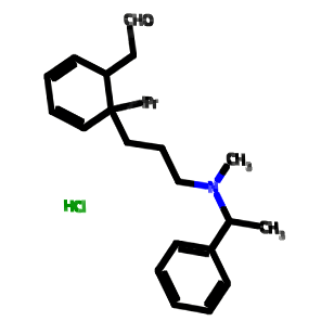 CC(c1ccccc1)N(C)CCCC1(C(C)C)C=CC=CC1CC=O.Cl